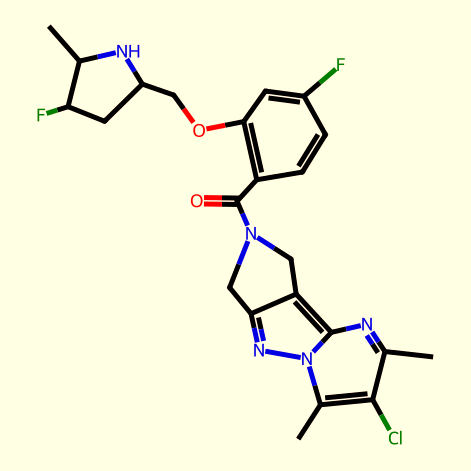 Cc1nc2c3c(nn2c(C)c1Cl)CN(C(=O)c1ccc(F)cc1OCC1CC(F)C(C)N1)C3